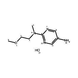 COCCN(C)c1ncc(N)cn1.Cl